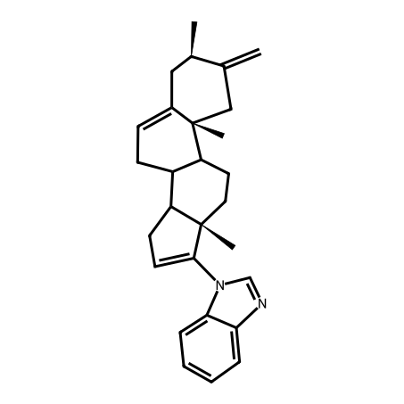 C=C1C[C@@]2(C)C(=CCC3C2CC[C@]2(C)C(n4cnc5ccccc54)=CCC32)C[C@H]1C